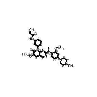 C=CC(=O)Nc1cccc(-n2c(=O)c(OC)cc3cnc(Nc4ccc(N5CCN(C)CC5)cc4OC)nc32)c1